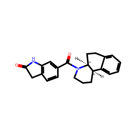 O=C1Cc2ccc(C(=O)N3CCC[C@@H]4c5ccccc5CC[C@@H]43)cc2N1